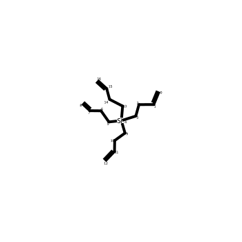 C=CCC[Si](CCC=C)(CCC=C)CCC=C